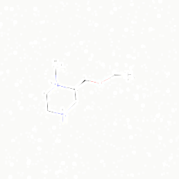 CCOC[C@H]1CNCCN1C